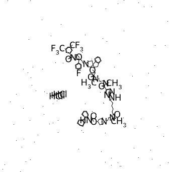 CN(CCN1CCC(OC(=O)Nc2ccccc2-c2ccccc2)CC1)C(=O)CCCCCNc1ncc(C(=O)N(C)CCCN(C)C(=O)CO[C@H]2Cc3ccccc3C23CCN(CC[C@@]2(c4ccc(F)cc4)CN(C(=O)c4cc(C(F)(F)F)cc(C(F)(F)F)c4)CO2)CC3)cn1.Cl.Cl.Cl